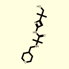 CC(C)(CO)C1=CC(NC(=O)C(C)(C)NCC2CCOCC2)=P1